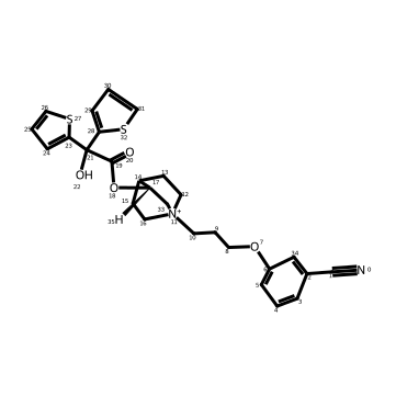 N#Cc1cccc(OCCC[N+]23CCC(CC2)[C@@H](OC(=O)C(O)(c2cccs2)c2cccs2)C3)c1